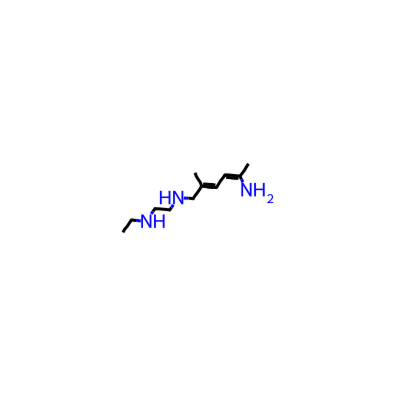 CCNCCNC/C(C)=C/C=C(/C)N